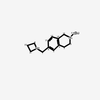 CC(C)(C)N1CCc2cc(CN3CCC3)ccc2C1